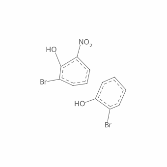 O=[N+]([O-])c1cccc(Br)c1O.Oc1ccccc1Br